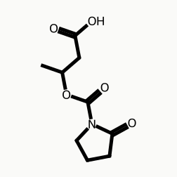 CC(CC(=O)O)OC(=O)N1CCCC1=O